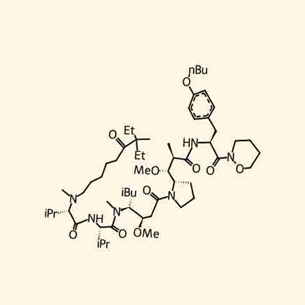 CCCCOc1ccc(C[C@H](NC(=O)[C@H](C)[C@@H](OC)[C@@H]2CCCN2C(=O)C[C@@H](OC)[C@H]([C@@H](C)CC)N(C)C(=O)[C@@H](NC(=O)[C@H](C(C)C)N(C)CCCCCC(=O)C(C)(CC)CC)C(C)C)C(=O)N2CCCCO2)cc1